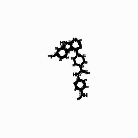 CNc1ccc(NC(=S)N2CCN(c3ncnc4[nH]c5cc(F)ccc5c34)CC2)cc1